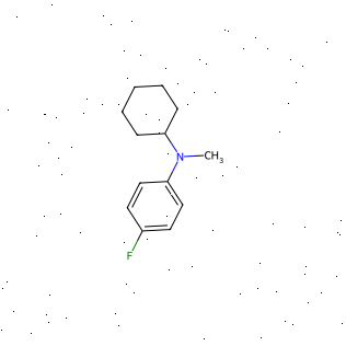 CN(c1ccc(F)cc1)C1CCCCC1